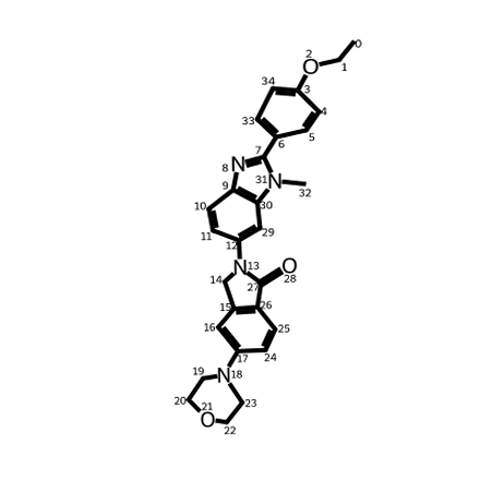 CCOc1ccc(-c2nc3ccc(N4Cc5cc(N6CCOCC6)ccc5C4=O)cc3n2C)cc1